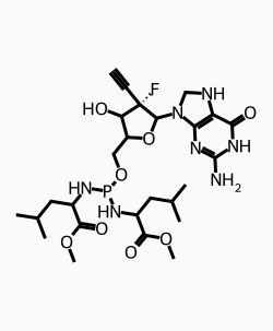 C#C[C@]1(F)C(O)C(COP(NC(CC(C)C)C(=O)OC)NC(CC(C)C)C(=O)OC)OC1N1CNc2c1nc(N)[nH]c2=O